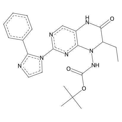 CCC1C(=O)Nc2cnc(-n3ccnc3-c3ccccc3)nc2N1NC(=O)OC(C)(C)C